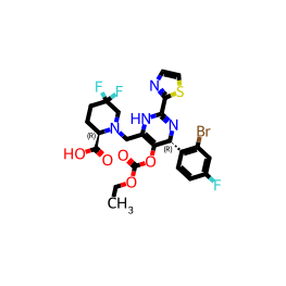 CCOC(=O)OC1=C(CN2CC(F)(F)CC[C@@H]2C(=O)O)NC(c2nccs2)=N[C@@H]1c1ccc(F)cc1Br